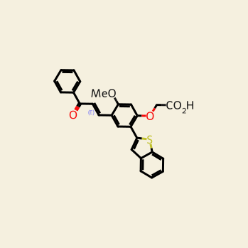 COc1cc(OCC(=O)O)c(-c2cc3ccccc3s2)cc1/C=C/C(=O)c1ccccc1